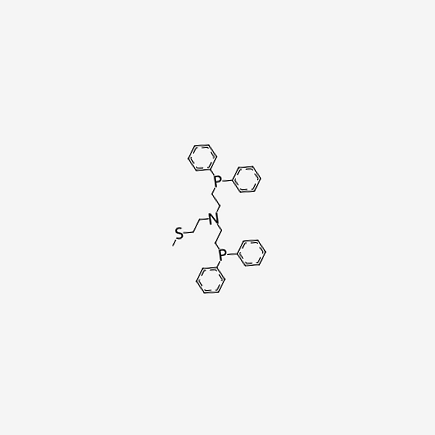 CSCCN(CCP(c1ccccc1)c1ccccc1)CCP(c1ccccc1)c1ccccc1